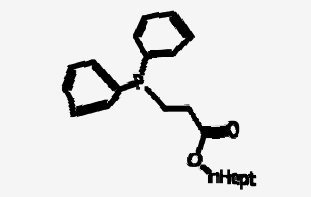 CCCCCCCOC(=O)CCP(c1ccccc1)c1ccccc1